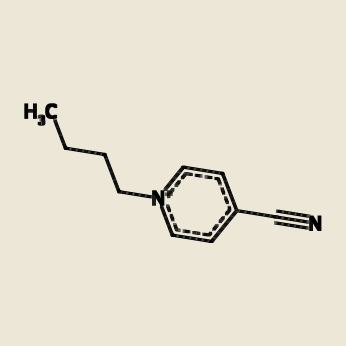 CCCC[n+]1ccc(C#N)cc1